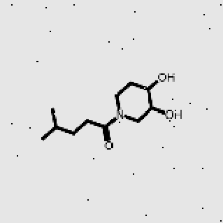 CC(C)CCC(=O)N1CCC(O)C(O)C1